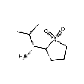 CC(C)[C@@H](N)C1CCCS1(=O)=O